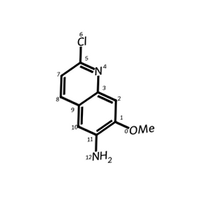 COc1cc2nc(Cl)ccc2cc1N